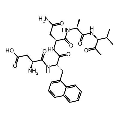 CC(=O)[C@@H](NC(=O)[C@H](C)NC(=O)[C@H](CC(N)=O)NC(=O)[C@H](Cc1cccc2ccccc12)NC(=O)[C@@H](N)CC(=O)O)C(C)C